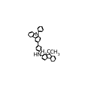 CC1(C)C2=C(CCC=C2)c2ccc(Nc3ccc(-c4ccc5c(c4)c4c(n5-c5ccccc5)C=CCC4)cc3)cc21